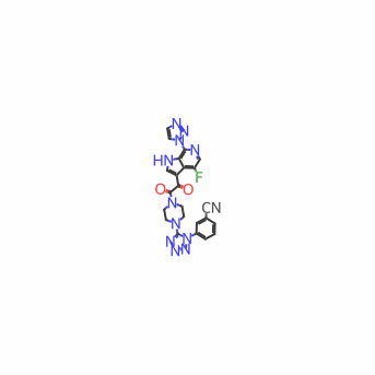 N#Cc1cccc(-n2nnnc2N2CCN(C(=O)C(=O)c3c[nH]c4c(-n5ccnn5)ncc(F)c34)CC2)c1